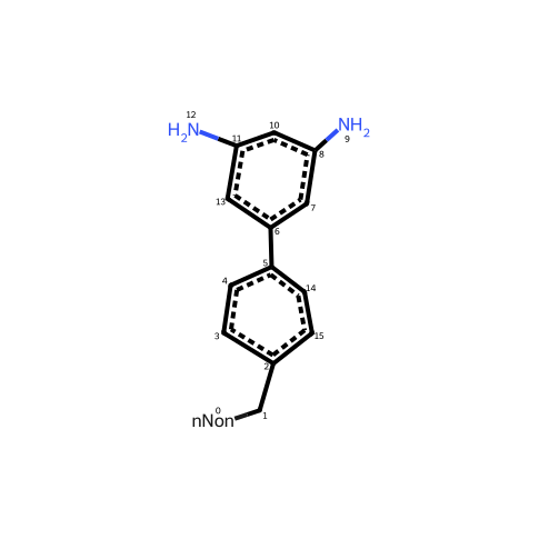 CCCCCCCCCCc1ccc(-c2cc(N)cc(N)c2)cc1